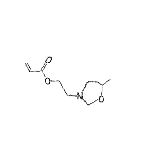 C=CC(=O)OCCN1COC(C)C1